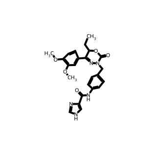 CCC1OC(=O)N(Cc2ccc(NC(=O)c3c[nH]cn3)cc2)N=C1c1ccc(OC)c(OC)c1